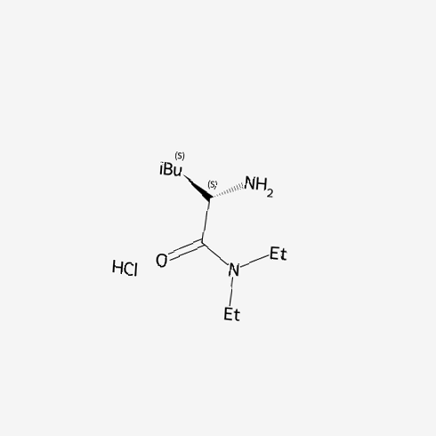 CC[C@H](C)[C@H](N)C(=O)N(CC)CC.Cl